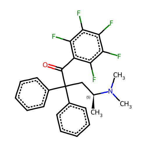 C[C@@H](CC(C(=O)c1c(F)c(F)c(F)c(F)c1F)(c1ccccc1)c1ccccc1)N(C)C